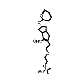 CC(C)(C)[Si](C)(C)OCCOCCC1=C(C=O)C2C[C@H](OC3CCCCO3)CC2C1